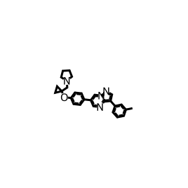 Cc1cccc(-c2cnn3cc(-c4ccc(OC5(CN6CCCC6)CC5)cc4)cnc23)c1